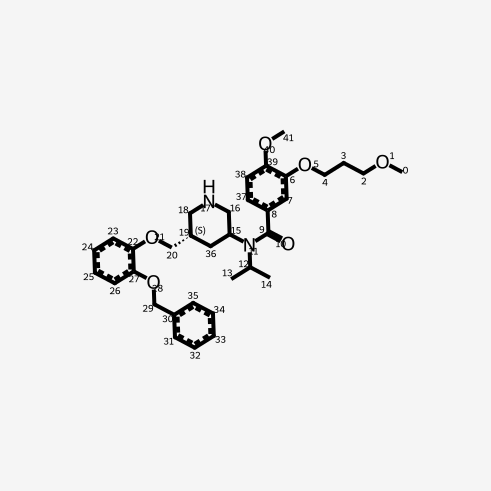 COCCCOc1cc(C(=O)N(C(C)C)C2CNC[C@@H](COc3ccccc3OCc3ccccc3)C2)ccc1OC